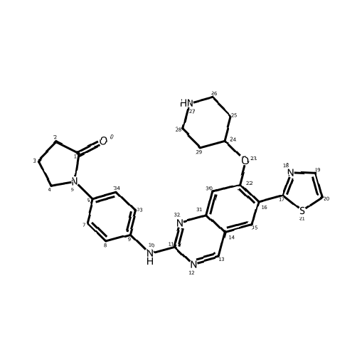 O=C1CCCN1c1ccc(Nc2ncc3cc(-c4nccs4)c(OC4CCNCC4)cc3n2)cc1